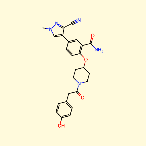 Cn1cc(-c2ccc(OC3CCN(C(=O)Cc4ccc(O)cc4)CC3)c(C(N)=O)c2)c(C#N)n1